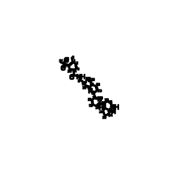 Cc1ccc(C(=O)NCc2cc3nc(-c4cccc(N5CCN[C@H]6CCC[C@H]65)n4)ccc3cn2)cc1S(C)(=O)=O